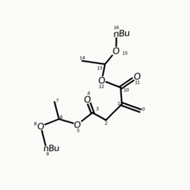 C=C(CC(=O)OC(C)OCCCC)C(=O)OC(C)OCCCC